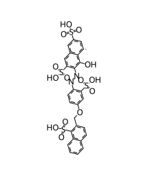 O=S(=O)(O)c1c[c]c2c(O)c(N=Nc3ccc(OCc4ccc5ccccc5c4S(=O)(=O)O)cc3S(=O)(=O)O)c(S(=O)(=O)O)cc2c1